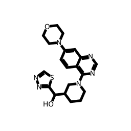 OC(c1nncs1)C1CCCN(c2ncnc3cc(N4CCOCC4)ccc23)C1